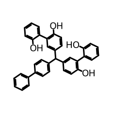 Oc1ccccc1-c1cc(C(c2ccc(-c3ccccc3)cc2)c2ccc(O)c(-c3ccccc3O)c2)ccc1O